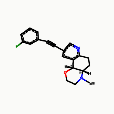 CCCN1CCO[C@@H]2c3cc(C#Cc4cccc(F)c4)cnc3CC[C@@H]21